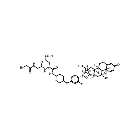 C[C@]12C=CC(=O)C=C1CC[C@@H]1[C@@H]2[C@@H](O)C[C@@]2(C)[C@H]1C[C@H]1O[C@@H](c3ccc(OC4CCC(NC(=O)[C@H](CCC(=O)O)NC(=O)CNC(=O)CBr)CC4)cc3F)O[C@]12C(=O)CO